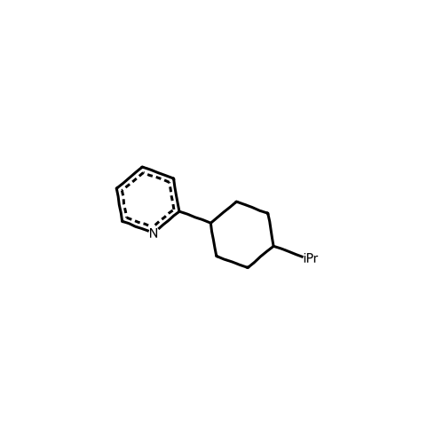 CC(C)C1CCC(c2ccccn2)CC1